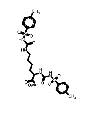 COC(=O)C(CCCCNC(=O)NS(=O)(=O)c1ccc(C)cc1)NC(=O)NS(=O)(=O)c1ccc(C)cc1